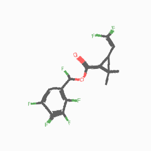 CC1(C)C(C=C(F)F)C1C(=O)OC(F)c1cc(F)c(F)c(F)c1F